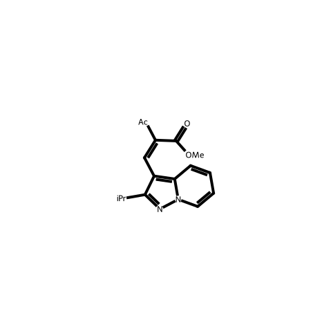 COC(=O)/C(=C\c1c(C(C)C)nn2ccccc12)C(C)=O